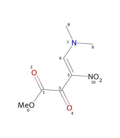 COC(=O)C(=O)/C(=C/N(C)C)[N+](=O)[O-]